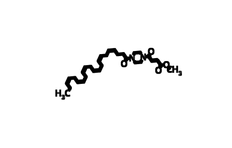 CC/C=C\C/C=C\C/C=C\C/C=C\C/C=C\C/C=C\CCC(=O)N1CCN(C(=O)/C=C/C(=O)OC)CC1